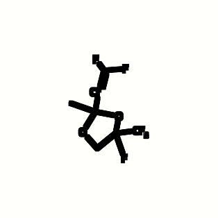 C[C]1([Cf]=[C](F)F)OCC(F)(C(F)(F)F)O1